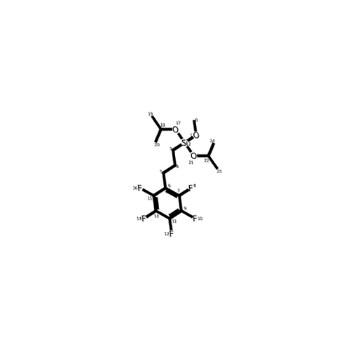 CO[Si](CCCc1c(F)c(F)c(F)c(F)c1F)(OC(C)C)OC(C)C